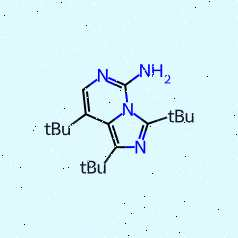 CC(C)(C)c1cnc(N)n2c(C(C)(C)C)nc(C(C)(C)C)c12